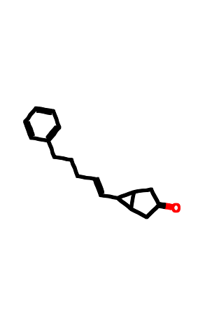 O=C1CC2C(C=CCCCc3ccccc3)C2C1